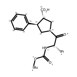 CC(C)[C@H](NC(=O)OC(C)(C)C)C(=O)N1C[C@@H](C(=O)O)[C@H](c2ccccc2)C1